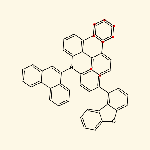 c1ccc(-c2ccccc2-c2c(-c3ccccc3)cccc2N(c2ccc(-c3cccc4oc5ccccc5c34)cc2)c2cc3ccccc3c3ccccc23)cc1